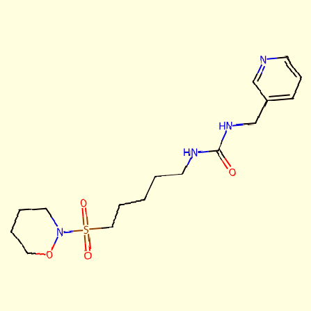 O=C(NCCCCCS(=O)(=O)N1CCCCO1)NCc1cccnc1